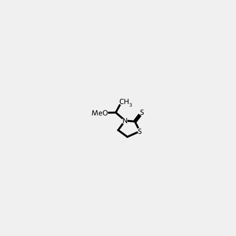 COC(C)N1CCSC1=S